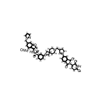 COc1cc(Cn2cccn2)cc2onc(NS(=O)(=O)c3cccc(N4CC5(CCN(CC6CCN(c7ccc8c(c7)C(=O)N(C7CCC(=O)NC7=O)C8=O)C6)CC5)C4)c3)c12